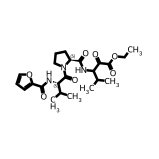 CCOC(=O)C(=O)C(NC(=O)[C@@H]1CCCN1C(=O)[C@@H](NC(=O)c1ccco1)C(C)C)C(C)C